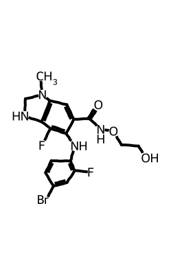 CN1CNc2c1cc(C(=O)NOCCO)c(Nc1ccc(Br)cc1F)c2F